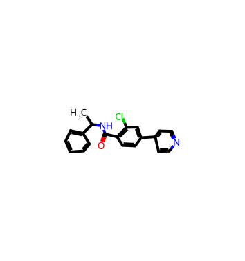 CC(NC(=O)c1ccc(-c2ccncc2)cc1Cl)c1ccccc1